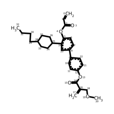 C=CC(=O)Oc1ccc(-c2ccc(OC(=O)C(=C)COC)cc2)cc1C1CCC(CCCC)CC1